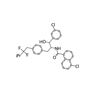 CC(C)C(F)(F)Cc1ccc(CC(NC(=O)c2cccc3c(Cl)cccc23)C(O)c2cccc(Cl)c2)cc1